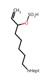 C=CC(CCCCCCCCCCCC)OS(=O)(=O)O